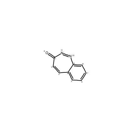 O=c1[c]cc2ccccc2nn1